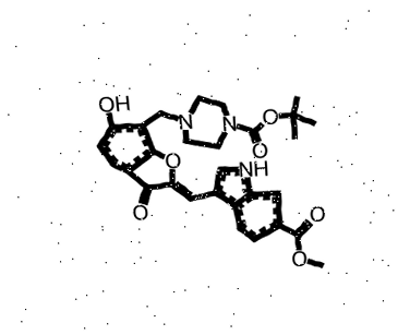 COC(=O)c1ccc2c(/C=C3\Oc4c(ccc(O)c4CN4CCN(C(=O)OC(C)(C)C)CC4)C3=O)c[nH]c2c1